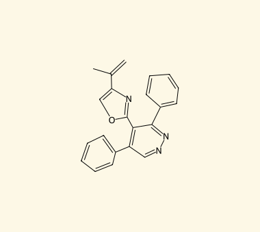 C=C(C)c1coc(-c2c(-c3ccccc3)cnnc2-c2ccccc2)n1